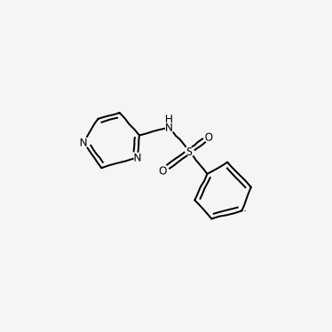 O=S(=O)(Nc1ccncn1)c1cc[c]cc1